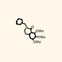 COc1cc2c(c(OC)c1OC)C(=O)N(Cc1ccccc1)CC2